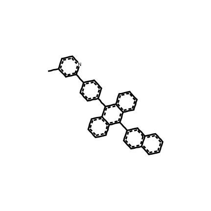 Cc1ccnc(-c2ccc(-c3c4ccccc4c(-c4ccc5ccccc5c4)c4ccccc34)cc2)c1